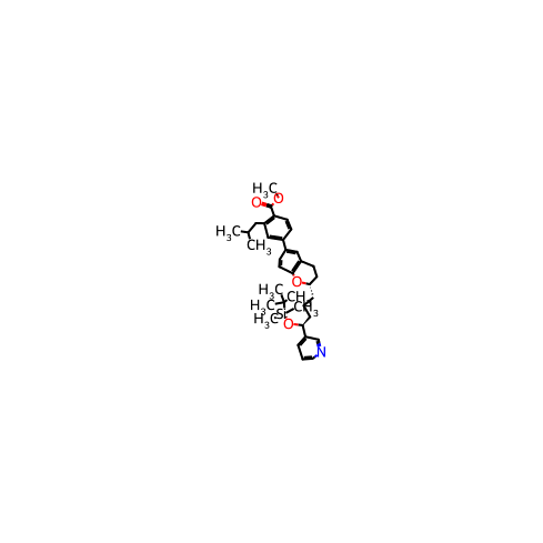 COC(=O)c1ccc(-c2ccc3c(c2)CC[C@H](CCC[C@H](O[Si](C)(C)C(C)(C)C)c2cccnc2)O3)cc1CC(C)C